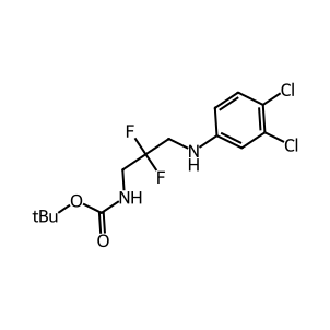 CC(C)(C)OC(=O)NCC(F)(F)CNc1ccc(Cl)c(Cl)c1